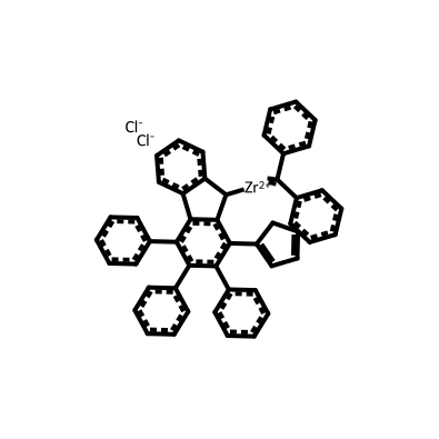 C1=CCC(c2c(-c3ccccc3)c(-c3ccccc3)c(-c3ccccc3)c3c2[CH]([Zr+2]=[C](c2ccccc2)c2ccccc2)c2ccccc2-3)=C1.[Cl-].[Cl-]